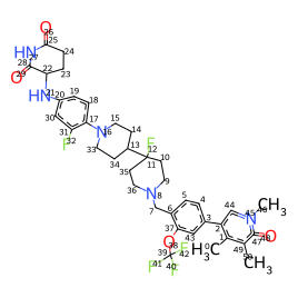 Cc1c(-c2ccc(CN3CCC(F)(C4CCN(c5ccc(NC6CCC(=O)NC6=O)cc5F)CC4)CC3)c(OC(F)(F)F)c2)cn(C)c(=O)c1C